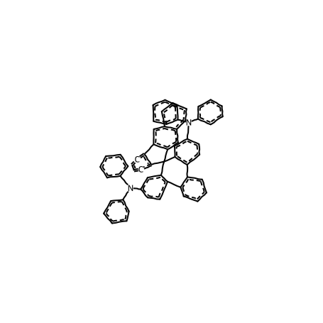 c1ccc(N(c2ccccc2)c2ccc3c(c2)C2(c4cc(N(c5ccccc5)c5ccccc5)ccc4-c4ccccc4-3)c3ccccc3-c3cc4ccccc4cc32)cc1